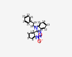 O=[N+]([O-])c1ccccc1C1Nc2ccccc2N1CCc1ccccc1